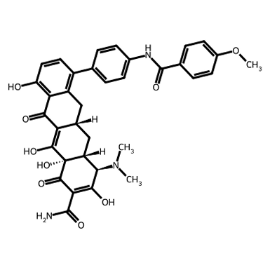 COc1ccc(C(=O)Nc2ccc(-c3ccc(O)c4c3C[C@@H]3C[C@@H]5[C@@H](N(C)C)C(O)=C(C(N)=O)C(=O)[C@@]5(O)C(O)=C3C4=O)cc2)cc1